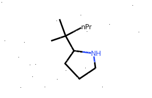 CCCC(C)(C)C1CCCN1